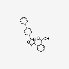 O=C(O)c1ccccc1-c1noc(-c2ccc(-c3ccccc3)cc2)n1